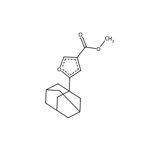 COC(=O)c1coc(C23CC4CC(CC(C4)C2)C3)c1